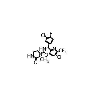 C[C@@H]1C(=O)NCCN1C(=O)N[C@H](c1ccc(F)c(Cl)c1)c1ccc(Cl)c(C(F)(F)F)n1